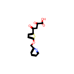 O=C(O)C(=O)CC(=O)c1ccc(OCc2ccccn2)s1